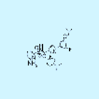 CC(C)COc1cc(F)cc(-c2ccc(C(=O)NS(=O)(=O)c3cccc(N)n3)c(N3CCCC(C(C)C)C3)n2)c1